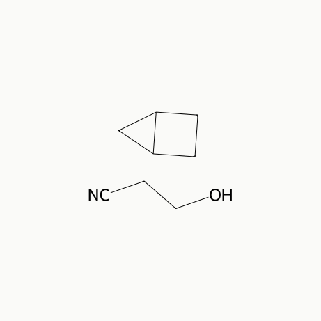 C1CC2CC12.N#CCCO